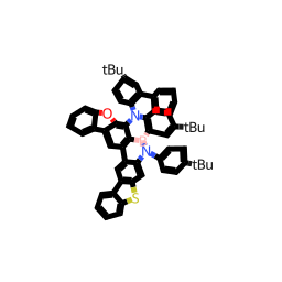 CC(C)(C)c1ccc(N2B3c4cc(C(C)(C)C)ccc4N(c4ccc(C(C)(C)C)cc4-c4ccccc4)c4c3c(cc3c4oc4ccccc43)-c3cc4c(cc32)sc2ccccc24)cc1